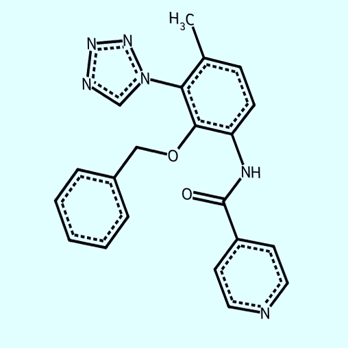 Cc1ccc(NC(=O)c2ccncc2)c(OCc2ccccc2)c1-n1cnnn1